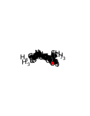 CCN(CC)N(c1cc(=O)c1=O)C(Cc1ccc(Oc2ncnc3cc(OC)c(OC)cc23)cc1)C(=O)O